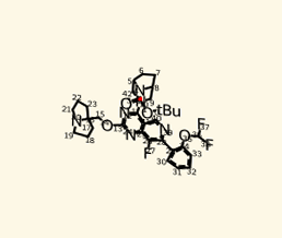 CC(C)(C)OC(=O)N1C2CCC1CN(c1nc(OCC34CCCN3CCC4)nc3c(F)c(-c4ccccc4OC(F)F)ncc13)C2